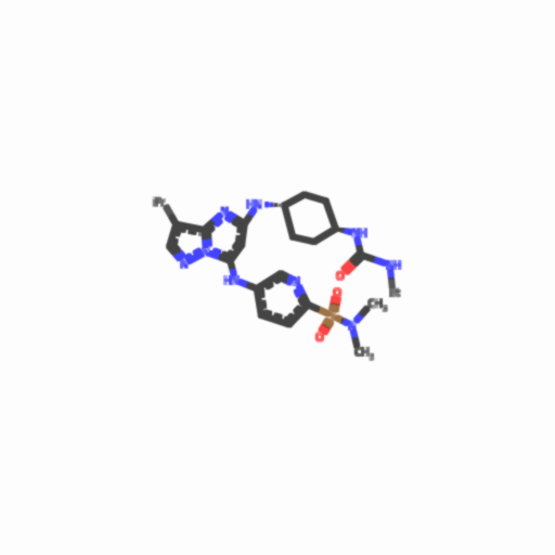 CCNC(=O)N[C@H]1CC[C@H](Nc2cc(Nc3ccc(S(=O)(=O)N(C)C)nc3)n3ncc(C(C)C)c3n2)CC1